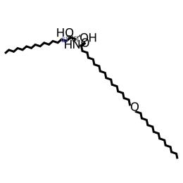 CCCCCCCCCCCCC/C=C/[C@@H](O)[C@H](CO)NC(=O)CCCCCCCCCCCCCCCCCOCCCCCCCCCCCCCCC